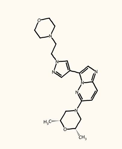 C[C@@H]1CN(c2ccc3ncc(-c4cnn(CCN5CCOCC5)c4)n3n2)C[C@H](C)O1